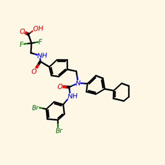 O=C(NCC(F)(F)C(=O)O)c1ccc(CN(C(=O)Nc2cc(Br)cc(Br)c2)c2ccc(C3=CCCCC3)cc2)cc1